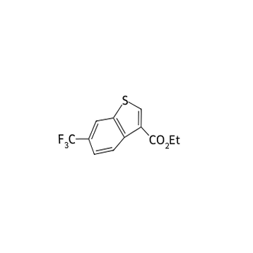 CCOC(=O)c1csc2cc(C(F)(F)F)ccc12